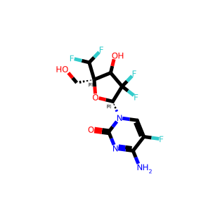 Nc1nc(=O)n([C@@H]2O[C@@](CO)(C(F)F)C(O)C2(F)F)cc1F